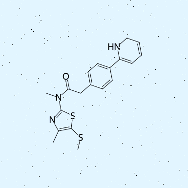 CSc1sc(N(C)C(=O)Cc2ccc(C3=CC=CCN3)cc2)nc1C